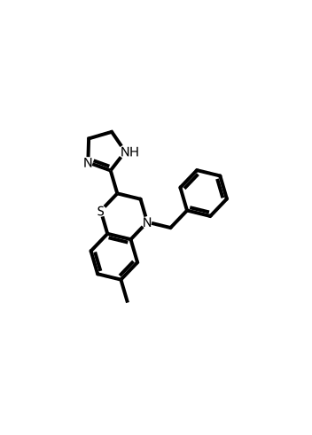 Cc1ccc2c(c1)N(Cc1ccccc1)CC(C1=NCCN1)S2